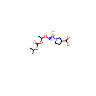 CC(C)OC(=O)OC(C)O/N=[N+](\[O-])N1CCC(C(=O)O)C1